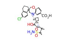 C[C@H](/C=C/[C@H](O)[C@@H]1CC[C@H]1CN1C[C@@]2(CCCc3cc(Cl)ccc32)COc2ccc(C(=O)O)cc21)[C@@H](C)S(N)(=O)=O